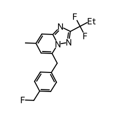 CCC(F)(F)c1nc2cc(C)cc(Cc3ccc(CF)cc3)n2n1